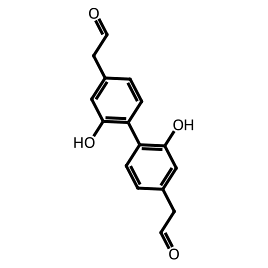 O=CCc1ccc(-c2ccc(CC=O)cc2O)c(O)c1